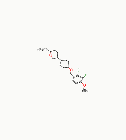 CCCCCC1CCC(C2CCC(OCc3ccc(OCCCC)c(F)c3F)CC2)CO1